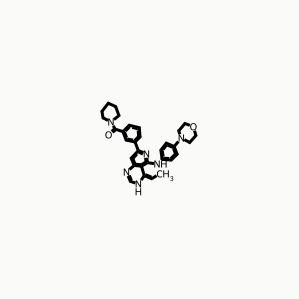 C/C=C1/NC=Nc2cc(-c3cccc(C(=O)N4CCCCC4)c3)nc(Nc3ccc(N4CCOCC4)cc3)c21